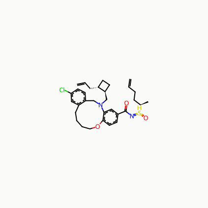 C=CCC[C@@H](C)/[SH](=O)=N\C(=O)c1ccc2c(c1)N(C[C@@H]1CC[C@H]1CC=C)Cc1ccc(Cl)cc1CCCCO2